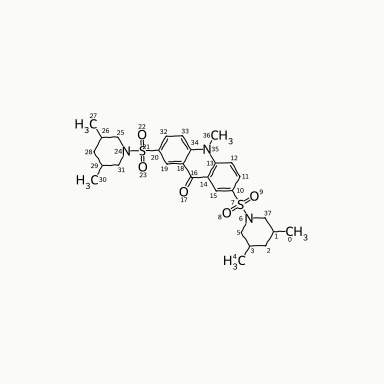 CC1CC(C)CN(S(=O)(=O)c2ccc3c(c2)c(=O)c2cc(S(=O)(=O)N4CC(C)CC(C)C4)ccc2n3C)C1